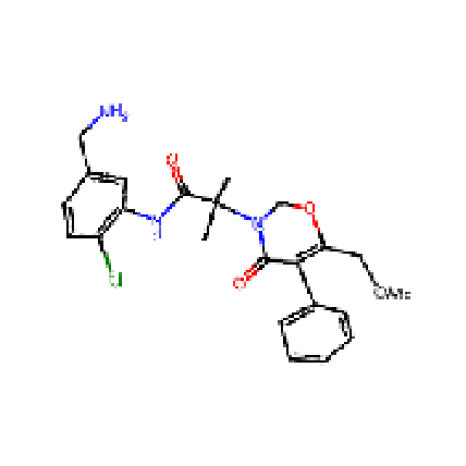 COCC1=C(c2ccccc2)C(=O)N(C(C)(C)C(=O)Nc2cc(CN)ccc2Cl)CO1